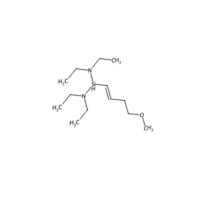 CCN(CC)[SiH](C=CCCOC)N(CC)CC